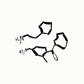 Cc1cc([N+](=O)[O-])ccc1C(=O)c1ccccc1.NCCc1ccccc1